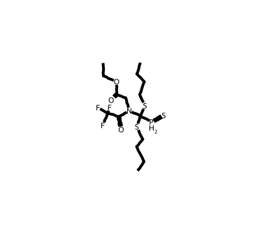 CCCCSC([PH2]=S)(SCCCC)N(CC(=O)OCC)C(=O)C(F)(F)F